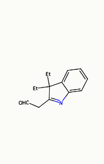 CCC1(CC)C(CC=O)=Nc2ccccc21